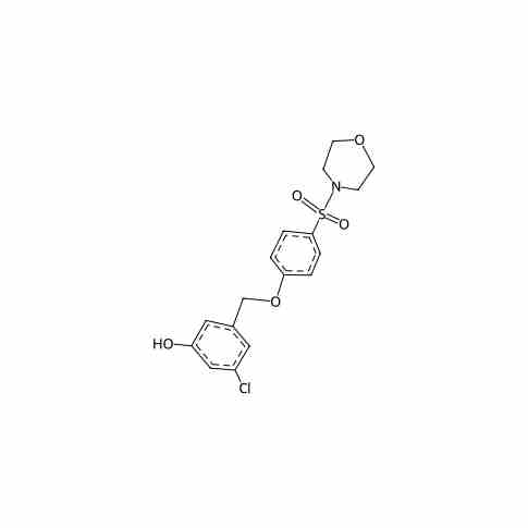 O=S(=O)(c1ccc(OCc2cc(O)cc(Cl)c2)cc1)N1CCOCC1